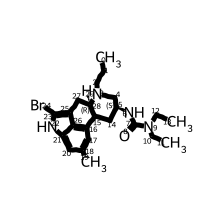 CCCN1C[C@@H](NC(=O)N(CC)CC)CC2c3cc(C)cc4[nH]c(Br)c(c34)C[C@H]21